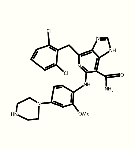 COc1cc(N2CCNCC2)ccc1Nc1nc(Cc2c(Cl)cccc2Cl)c2nc[nH]c2c1C(N)=O